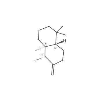 C=C1CC[C@H]2C(C)(C)CCC[C@]2(C)[C@H]1C